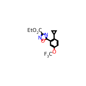 CCOC(=O)c1noc(-c2cc(OC(F)(F)F)ccc2C2CC2)n1